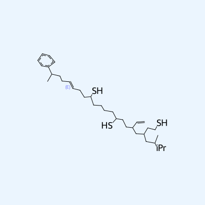 C=CC(CCC(S)CCCCC(S)CC/C=C/CCC(C)c1ccccc1)CC(CCS)CC(C)C(C)C